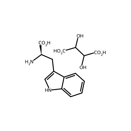 N[C@H](Cc1c[nH]c2ccccc12)C(=O)O.O=C(O)C(O)C(O)C(=O)O